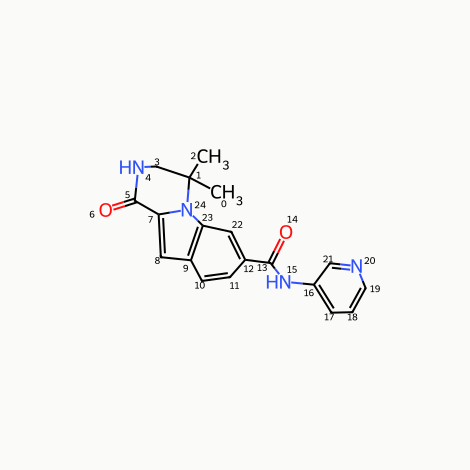 CC1(C)CNC(=O)c2cc3ccc(C(=O)Nc4cccnc4)cc3n21